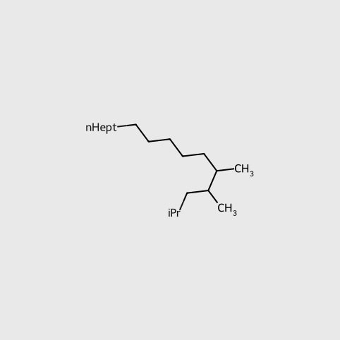 CCCCCCCCCCCCC(C)C(C)CC(C)C